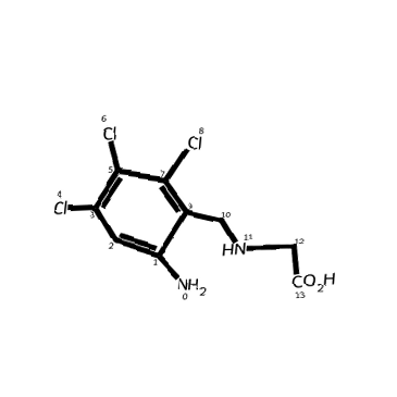 Nc1cc(Cl)c(Cl)c(Cl)c1CNCC(=O)O